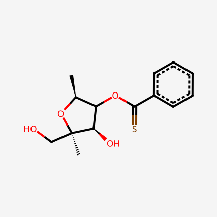 C[C@@H]1O[C@](C)(CO)[C@H](O)C1OC(=S)c1ccccc1